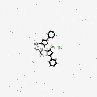 CC1=[C]([Hf+2]([C]2=C(C)C=C(c3ccccc3)C2)=[Ge]([CH3])[CH3])CC(c2ccccc2)=C1.[Cl-].[Cl-]